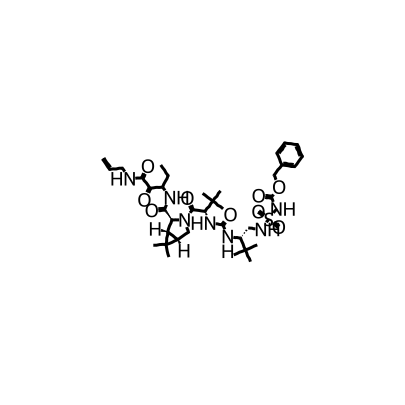 C=CCNC(=O)C(=O)C(CC)NC(=O)[C@@H]1[C@@H]2[C@H](CN1C(=O)[C@@H](NC(=O)N[C@H](CNS(=O)(=O)NC(=O)OCc1ccccc1)C(C)(C)C)C(C)(C)C)C2(C)C